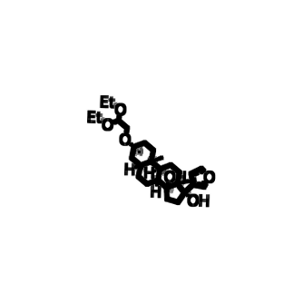 CCOC(CO[C@H]1CC[C@@]2(C)[C@H](CC[C@@H]3[C@@H]2CC[C@]2(C)[C@@](O)(c4ccoc4)CC[C@]32O)C1)OCC